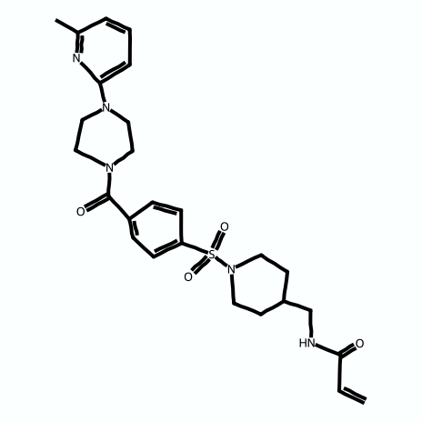 C=CC(=O)NCC1CCN(S(=O)(=O)c2ccc(C(=O)N3CCN(c4cccc(C)n4)CC3)cc2)CC1